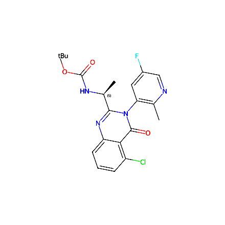 Cc1ncc(F)cc1-n1c([C@H](C)NC(=O)OC(C)(C)C)nc2cccc(Cl)c2c1=O